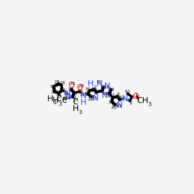 COC1CN(c2cc(-c3cnc(N)c(-c4ccc(NC(=O)c5c(C)n(C)n(-c6ccccc6C)c5=O)cn4)n3)ccn2)C1